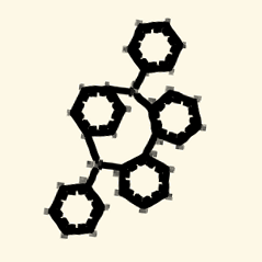 c1ccc(N2c3ccc(cc3)N(c3ccccc3)c3ccccc3-c3ccccc32)cc1